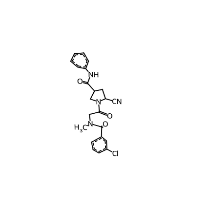 CN(CC(=O)N1CC(C(=O)Nc2ccccc2)CC1C#N)C(=O)c1cccc(Cl)c1